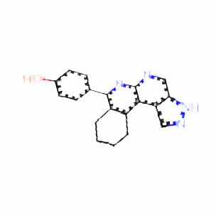 Oc1ccc(-c2nc3ncc4[nH]ncc4c3c3c2CCCC3)cc1